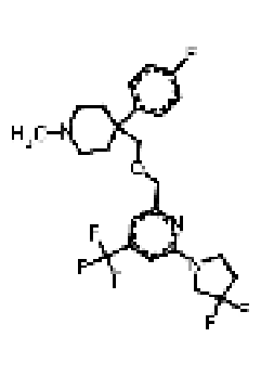 CN1CCC(COCc2cc(C(F)(F)F)cc(N3CCC(F)(F)C3)n2)(c2ccc(F)cc2)CC1